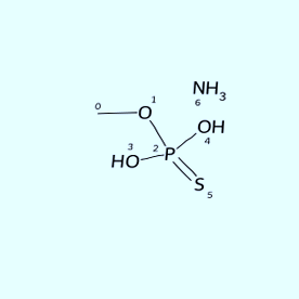 COP(O)(O)=S.N